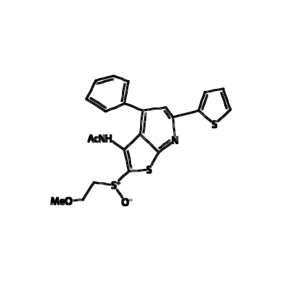 COCC[S+]([O-])c1sc2nc(-c3cccs3)cc(-c3ccccc3)c2c1NC(C)=O